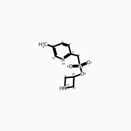 Cc1ccc(CS(=O)(=O)OC2CNC2)nc1